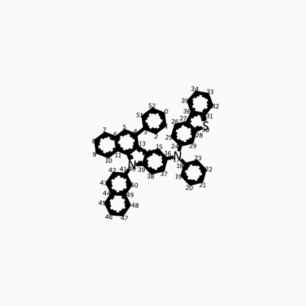 c1ccc(-c2cc3ccccc3c3c2c2cc(N(c4ccccc4)c4ccc5c(c4)sc4ccccc45)ccc2n3-c2ccc3ccccc3c2)cc1